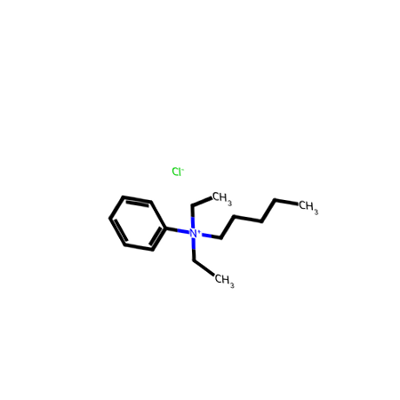 CCCCC[N+](CC)(CC)c1ccccc1.[Cl-]